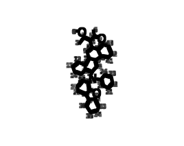 CO/C(C)=C(\C(C)=O)c1cc2c3ccccc3c(N(c3ccccc3)c3cccc4c3oc3ccccc34)cc2c2ccccc12